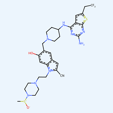 C[S+]([O-])N1CCN(CCn2c(C#N)cc3cc(CN4CCC(Nc5nc(N)nc6sc(CC(F)(F)F)cc56)CC4)c(O)cc32)CC1